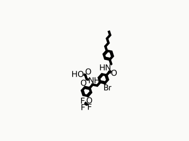 CCCCCc1ccc(CNC(=O)c2ccc(CC(NC(=O)C(=O)O)c3cccc(OC(F)(F)F)c3)c(Br)c2)cc1